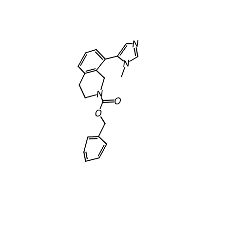 Cn1cncc1-c1cccc2c1CN(C(=O)OCc1ccccc1)CC2